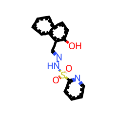 O=S(=O)(N/N=C/c1c(O)ccc2ccccc12)c1ccccn1